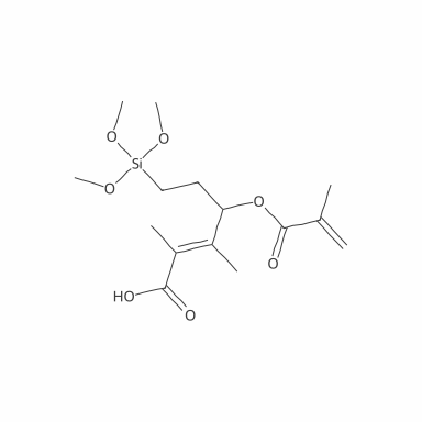 C=C(C)C(=O)OC(CC[Si](OC)(OC)OC)C(C)=C(C)C(=O)O